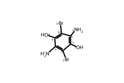 Nc1c(O)c(Br)c(N)c(O)c1Br